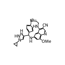 COc1cc(NC(C2=CN(C3CC3)NN2)c2ccc(F)cc2)cc2c(NCC(C)(C)C)c(C#N)cnc12